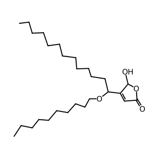 CCCCCCCCCCCCC(OCCCCCCCCCC)C1=CC(=O)OC1O